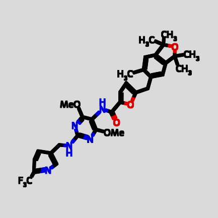 COc1nc(NCc2ccc(C(F)(F)F)nc2)nc(OC)c1NC(=O)c1ccc(Cc2cc3c(cc2C)C(C)(C)OC3(C)C)o1